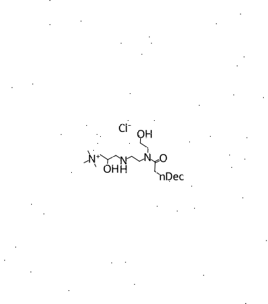 CCCCCCCCCCCC(=O)N(CCO)CCNCC(O)C[N+](C)(C)C.[Cl-]